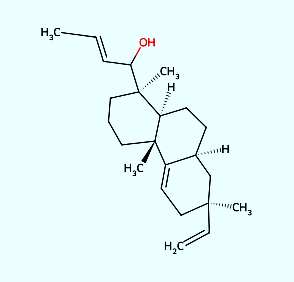 C=C[C@@]1(C)CC=C2[C@@H](CC[C@H]3[C@@]2(C)CCC[C@@]3(C)C(O)/C=C/C)C1